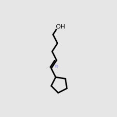 OCCC/C=C/C1CCCC1